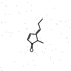 CCC=C1C=CC(=O)C1C